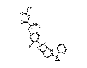 N[C@@H](Cc1ccc(-c2nc3ccc(C4(c5ccccc5)C=C4)nc3s2)c(F)c1)C(=O)OC(=O)C(F)(F)F